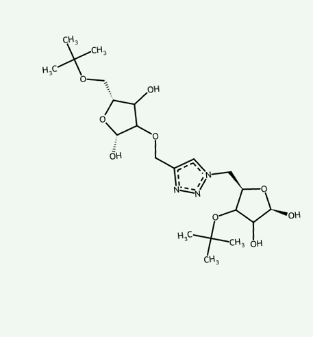 CC(C)(C)OC[C@H]1O[C@@H](O)C(OCc2cn(C[C@H]3O[C@@H](O)C(O)C3OC(C)(C)C)nn2)C1O